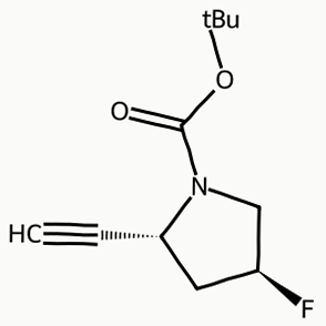 C#C[C@H]1C[C@H](F)CN1C(=O)OC(C)(C)C